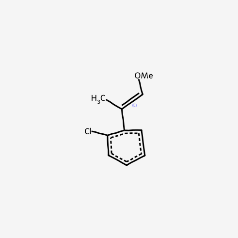 CO/C=C(\C)c1ccccc1Cl